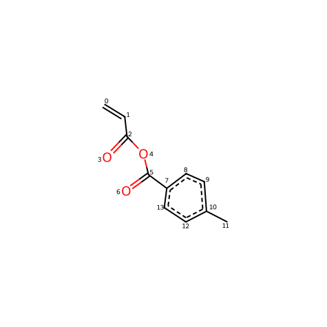 C=CC(=O)OC(=O)c1ccc(C)cc1